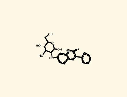 O=c1[nH]c2cc(N[C@@H]3C(O)OC(CO)[C@@H](O)C3O)ccc2cc1-c1ccccc1